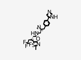 Cc1ncc([C@@H](CC(=O)NC[C@H](Cc2ccc(-c3cnc[nH]3)cc2)N(C)C)CC(F)(F)F)s1